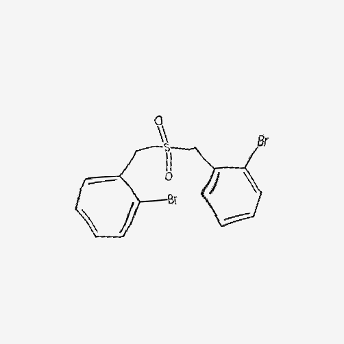 O=S(=O)(Cc1ccccc1Br)Cc1ccccc1Br